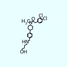 CN(C(=O)Cc1ccc(Cl)c(Cl)c1)C1CCC(c2ccc(CNCCCCO)cc2)CC1